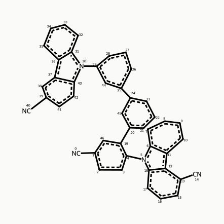 N#Cc1ccc(-n2c3ccccc3c3c(C#N)cccc32)c(-c2cccc(-c3cccc(-n4c5ccccc5c5cc(C#N)ccc54)c3)c2)c1